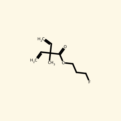 C=CC(C)(C=C)C(=O)OCCCF